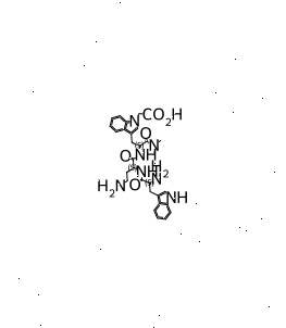 CN(C)C(=O)[C@H](Cc1cn(CC(=O)O)c2ccccc12)NC(=O)[C@H](CCN)NC(=O)[C@@H](N)Cc1c[nH]c2ccccc12